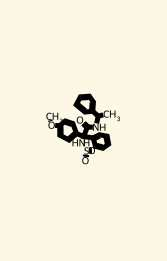 COc1ccc(C(N[SH](=O)=O)(C(=O)NC(C)c2ccccc2)c2ccccc2)cc1